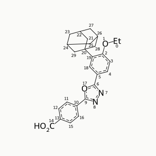 CCOc1ccc(-c2nnc(-c3ccc(C(=O)O)cc3)o2)cc1C12CC3CC(CC(C3)C1)C2